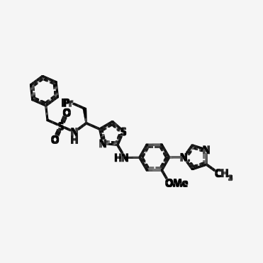 COc1cc(Nc2nc([C@H](CC(C)C)NS(=O)(=O)Cc3ccccc3)cs2)ccc1-n1cnc(C)c1